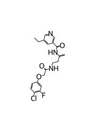 C=C(CCNC(=O)COc1ccc(Cl)c(F)c1)NC(=O)c1cncc(CC)c1